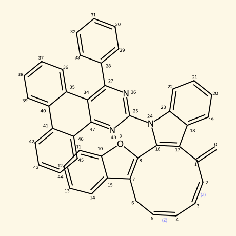 C=C1/C=C\C=C/Cc2c(oc3ccccc23)-c2c1c1ccccc1n2-c1nc(-c2ccccc2)c2c3ccccc3c3ccccc3c2n1